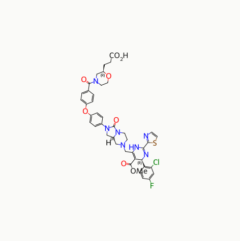 COC(=O)C1=C(CN2CCN3C(=O)N(c4ccc(Oc5ccc(C(=O)N6CCO[C@H](CCC(=O)O)C6)cc5)cc4)C[C@@H]3C2)NC(c2nccs2)=N[C@H]1c1ccc(F)cc1Cl